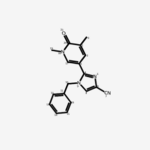 Cc1cc(-c2nc(C#N)cn2Cc2ccccc2)cn(C)c1=O